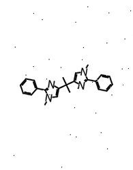 Cn1cc(C(C)(C)c2cn(C)c(-c3ccccc3)n2)nc1-c1ccccc1